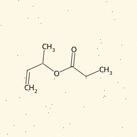 C=CC(C)OC(=O)[CH]C